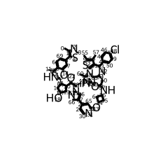 Cc1ncsc1-c1ccc([C@H](C)NC(=O)[C@@H]2C[C@@H](O)CC2C(=O)[C@@H](C(C)C)n2cc(-c3ccnc(O[C@H]4C[C@H](NC(=O)C[C@@H]5N=C(c6ccc(Cl)cc6)c6c(sc(C)c6C)-n6c(C)nnc65)C4)c3)cn2)cc1